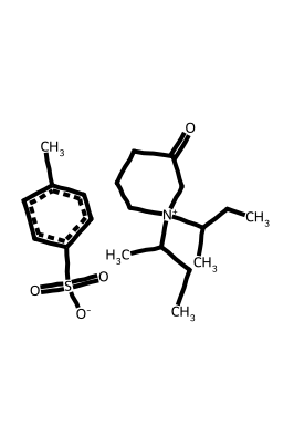 CCC(C)[N+]1(C(C)CC)CCCC(=O)C1.Cc1ccc(S(=O)(=O)[O-])cc1